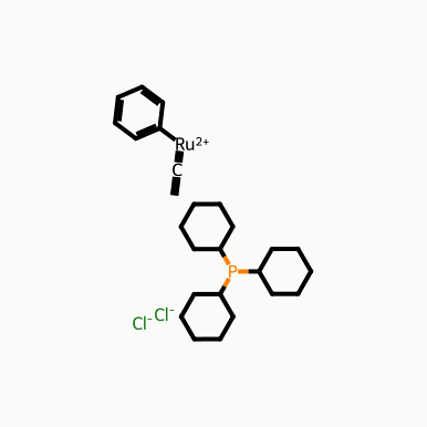 C1CCC(P(C2CCCCC2)C2CCCCC2)CC1.C=[C]=[Ru+2][c]1ccccc1.[Cl-].[Cl-]